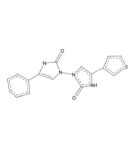 O=C1[N]C(c2ccccc2)=CN1n1cc(-c2ccsc2)[nH]c1=O